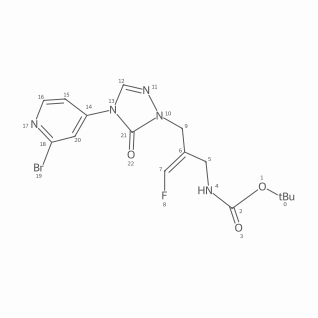 CC(C)(C)OC(=O)NCC(=CF)Cn1ncn(-c2ccnc(Br)c2)c1=O